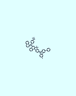 Cc1ccc2c(c1)c1cc(-c3ccccc3)ccc1n2-c1ccc2c(c1)C(C)(C)c1cc(N(c3ccc([Si](C)(C)C)cc3)c3cccc4ccccc34)c3ccccc3c1-2